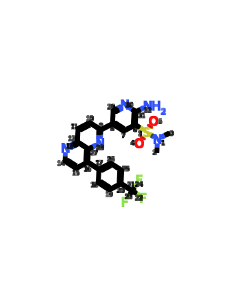 CN(C)S(=O)(=O)c1cc(-c2ccc3nccc(-c4ccc(C(F)(F)F)cc4)c3n2)cnc1N